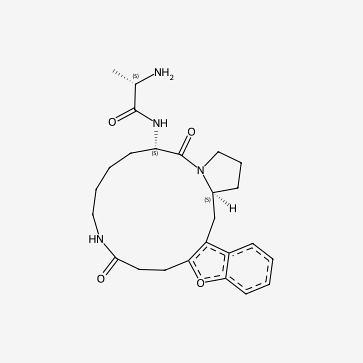 C[C@H](N)C(=O)N[C@H]1CCCCNC(=O)CCc2oc3ccccc3c2C[C@@H]2CCCN2C1=O